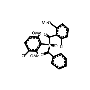 COc1cccc(Cl)c1C(=O)P(=O)(C(=O)c1ccccc1)c1c(OC)ccc(Cl)c1OC